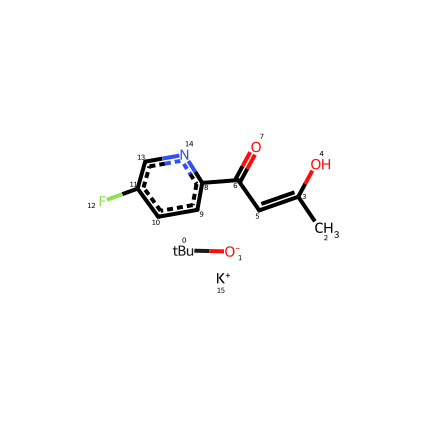 CC(C)(C)[O-].CC(O)=CC(=O)c1ccc(F)cn1.[K+]